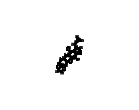 Cn1c(=O)n(CC2CCC3(CC2)OCCO3)c(=O)c2c1ncn2CC1CC1